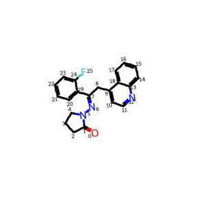 O=C1CCCN1N=C(Cc1ccnc2ccccc12)c1ccccc1F